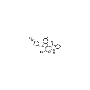 [C-]#[N+]c1ccc(Cn2c(C(=O)O)c(-n3c(=O)[nH]c4cscc4c3=O)c3cc(C)ccc32)cc1